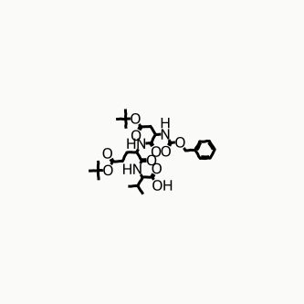 CC(C)C(NC(=O)C(CCC(=O)OC(C)(C)C)NC(=O)C(CC(=O)OC(C)(C)C)NC(=O)OCc1ccccc1)C(=O)O